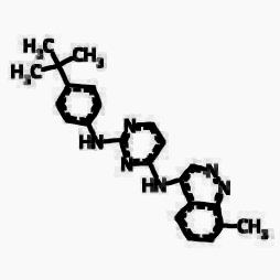 Cc1cccc2c(Nc3ccnc(Nc4ccc(C(C)(C)C)cc4)n3)cnnc12